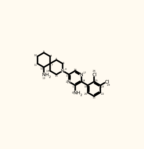 Nc1nc(N2CCC3(CCCCC3N)CC2)cnc1-c1cccc(Cl)c1Cl